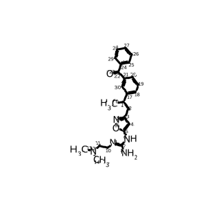 CC(Cc1cc(NC(N)=NCCN(C)C)on1)c1cccc(C(=O)c2ccccc2)c1